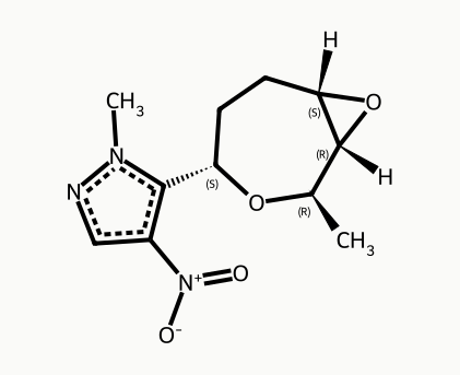 C[C@H]1O[C@H](c2c([N+](=O)[O-])cnn2C)CC[C@@H]2O[C@@H]21